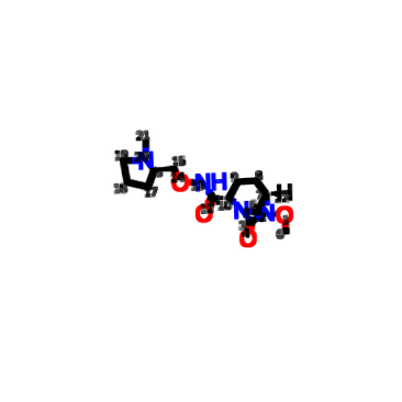 CON1C(=O)N2C[C@H]1CC[C@H]2C(=O)NOC[C@H]1CCCN1C